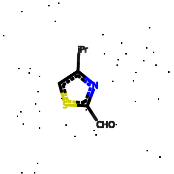 CC(C)c1csc(C=O)n1